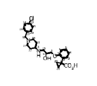 O=C(O)C1(c2ccccc2OC[C@@H](O)CNC2CCN(Cc3ccc(Cl)cc3)CC2)CC1